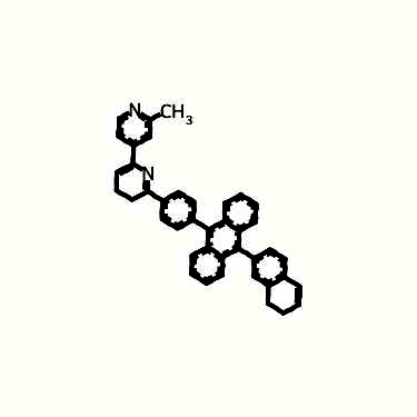 Cc1cc(C2=CCCC(c3ccc(-c4c5ccccc5c(-c5ccc6c(c5)CCC=C6)c5ccccc45)cc3)=N2)ccn1